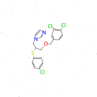 Clc1ccc(SC(COCc2ccc(Cl)c(Cl)c2)Cn2ccnc2)cc1